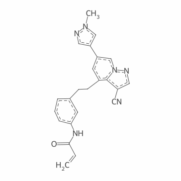 C=CC(=O)Nc1cccc(CCc2cc(-c3cnn(C)c3)cn3ncc(C#N)c23)c1